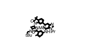 CNC(=O)c1cc(Nc2nc(-c3ccc4c(c3)N([C@H]3C[C@@H](NCC(C)(C)C)C3)C(=O)C4(C)C)cc3ncn(C(C)C)c23)ccc1C